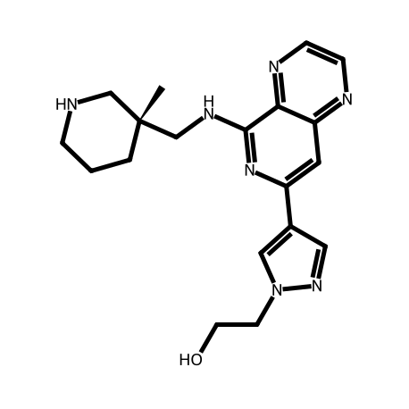 C[C@@]1(CNc2nc(-c3cnn(CCO)c3)cc3nccnc23)CCCNC1